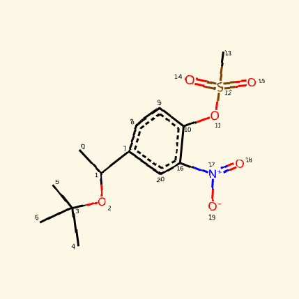 CC(OC(C)(C)C)c1ccc(OS(C)(=O)=O)c([N+](=O)[O-])c1